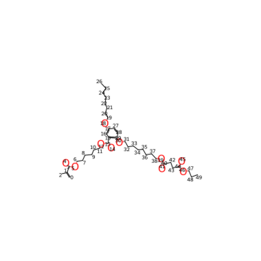 C=C(C)C(=O)OCCCCCCOC(=O)c1cc(OCCCCCCCC)ccc1OCCCCCCCCOC(=O)CCC(=O)OCCC